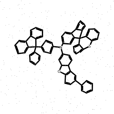 C1=CC2c3cc(-c4ccccc4)ccc3OC2C=C1N(c1ccc(C2(c3ccccc3)c3ccccc3-c3ccccc32)cc1)c1ccc2c(c1)C1(c3ccccc3Sc3ccccc31)c1ccccc1-2